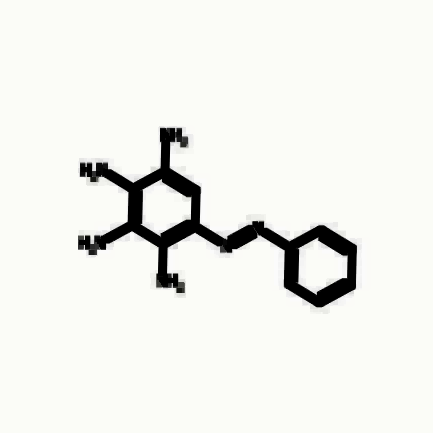 Nc1cc(N=Nc2ccccc2)c(N)c(N)c1N